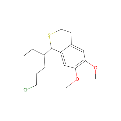 CCC(CCCCl)C1SCCc2cc(OC)c(OC)cc21